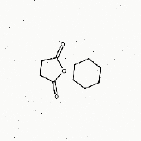 C1CCCCC1.O=C1CCC(=O)O1